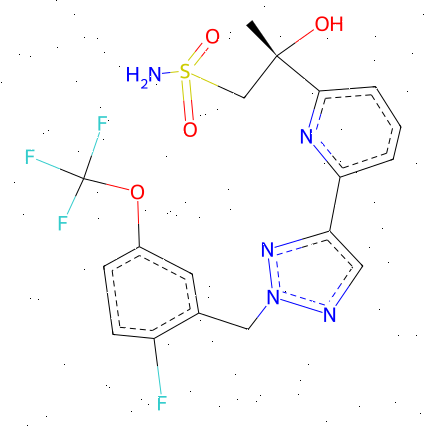 C[C@](O)(CS(N)(=O)=O)c1cccc(-c2cnn(Cc3cc(OC(F)(F)F)ccc3F)n2)n1